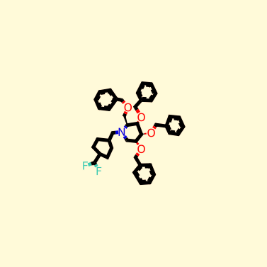 FC(F)C1CCC(CN2C[C@H](OCc3ccccc3)[C@@H](OCc3ccccc3)[C@H](OCc3ccccc3)[C@@H]2COCc2ccccc2)CC1